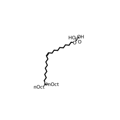 CCCCCCCCN(CCCCCCCC)CCCCCCCC/C=C\CCCCCCCCOP(=O)(O)O